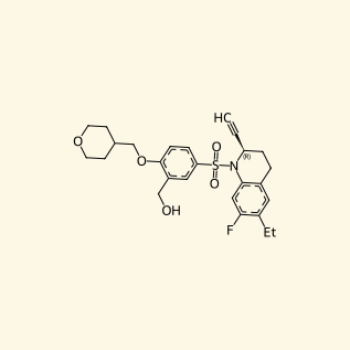 C#C[C@H]1CCc2cc(CC)c(F)cc2N1S(=O)(=O)c1ccc(OCC2CCOCC2)c(CO)c1